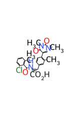 Cc1cc(C[C@H](NC(=O)c2c(C)cccc2Cl)C(=O)O)ccc1-c1cn(C)c(=O)n(C)c1=O